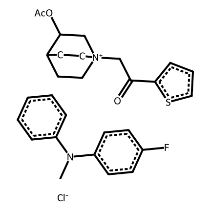 CC(=O)OC1C[N+]2(CC(=O)c3cccs3)CCC1CC2.CN(c1ccccc1)c1ccc(F)cc1.[Cl-]